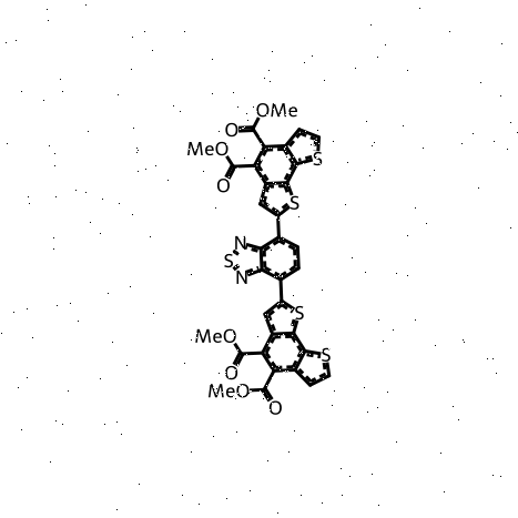 COC(=O)c1c(C(=O)OC)c2cc(-c3ccc(-c4cc5c(C(=O)OC)c(C(=O)OC)c6ccsc6c5s4)c4nsnc34)sc2c2sccc12